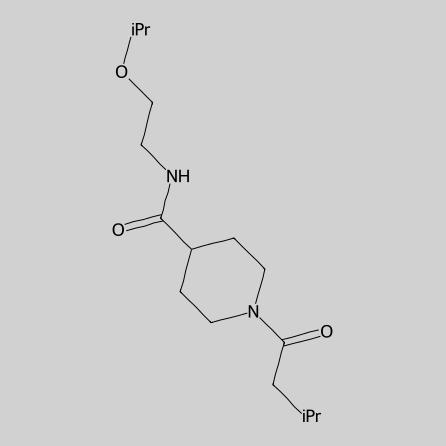 CC(C)CC(=O)N1CCC(C(=O)NCCOC(C)C)CC1